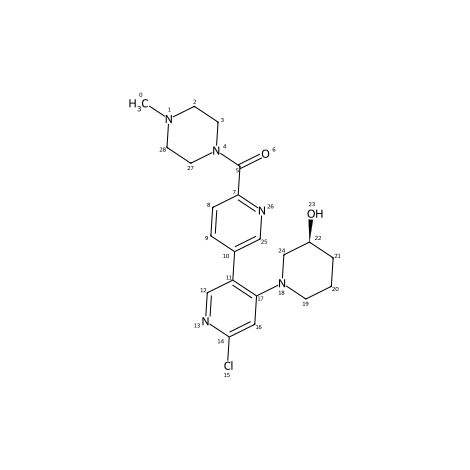 CN1CCN(C(=O)c2ccc(-c3cnc(Cl)cc3N3CCC[C@H](O)C3)cn2)CC1